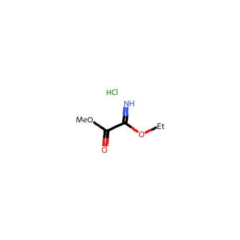 CCOC(=N)C(=O)OC.Cl